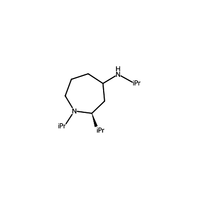 CC(C)NC1CCCN(C(C)C)[C@H](C(C)C)C1